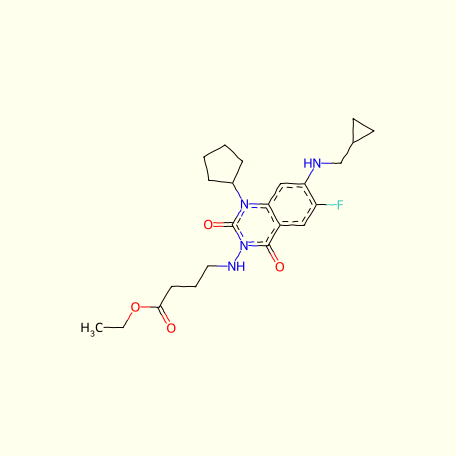 CCOC(=O)CCCNn1c(=O)c2cc(F)c(NCC3CC3)cc2n(C2CCCC2)c1=O